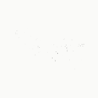 CN[C@H](C(=O)N[C@H](C(=O)N(C)[C@H](C=C(C)C(=O)NS(=O)(=O)c1ccc(N)c(C)c1)C(C)C)C(C)(C)C)C(C)(C)c1ccccc1